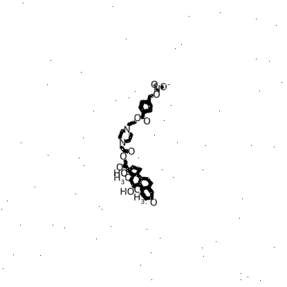 CC12C=CC(=O)C=C1CCC1C2C(O)CC2(C)C1CC[C@]2(O)C(=O)COC(=O)CN1CCN(CCOC(=O)c2ccc(CO[N+](=O)[O-])cc2)CC1